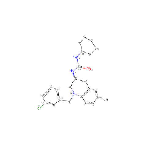 N#Cc1ccc2c(c1)C[C@H](NC(=O)NC1CCCCC1)CN2Cc1cccc(Cl)c1